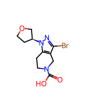 O=C(O)N1CCc2c(c(Br)nn2[C@H]2CCOC2)C1